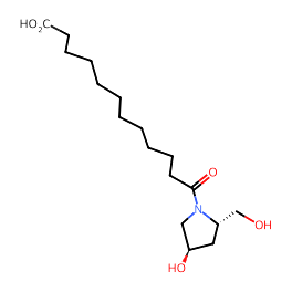 O=C(O)CCCCCCCCCCC(=O)N1C[C@H](O)C[C@H]1CO